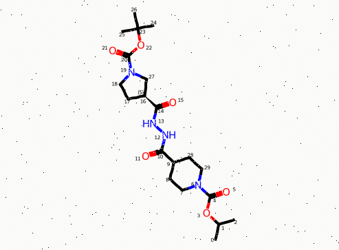 CC(C)OC(=O)N1CCC(C(=O)NNC(=O)[C@H]2CCN(C(=O)OC(C)(C)C)C2)CC1